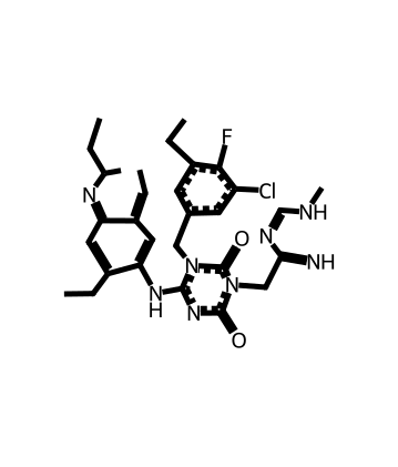 C/C=C1/C=C(Nc2nc(=O)n(CC(=N)/N=C\NC)c(=O)n2Cc2cc(Cl)c(F)c(CC)c2)C(CC)=C/C1=N/C(C)CC